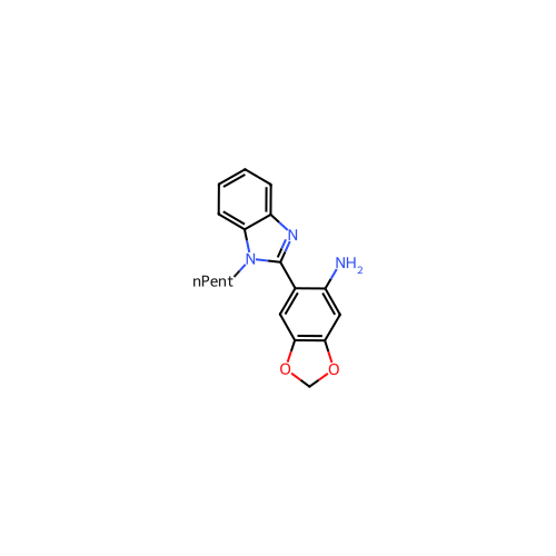 CCCCCn1c(-c2cc3c(cc2N)OCO3)nc2ccccc21